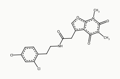 Cn1c(=O)c2c(CC(=O)NCCc3ccc(Cl)cc3Cl)coc2n(C)c1=O